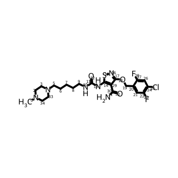 CN1CCN(CCCCCNC(=O)Nc2snc(OCc3cc(F)c(Cl)cc3F)c2C(N)=O)CC1